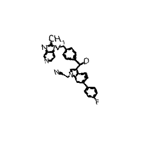 Cc1nc2cnccc2n1Cc1ccc(C(=O)c2cn(CC#N)c3cc(-c4ccc(F)cc4)ccc23)cc1